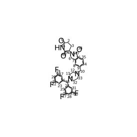 O=C1CCC(N2Cc3cc(CN4CCN(C(c5cc(F)cc(F)c5)c5cc(F)cc(F)c5)CC4)ccc3C2=O)C(=O)N1